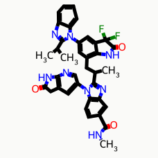 CNC(=O)c1ccc2c(c1)nc(C(C)Cc1cc(-n3c(C(C)C)nc4ccccc43)cc3c1NC(=O)C3(F)F)n2-c1cnc2c(c1)CC(=O)N2